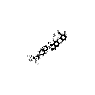 COc1c(Oc2c(F)ccc(F)c2C#N)ccc2ncn([C@@H]3COC4(CCN(C(=O)OC(C)(C)C)CC4)C3)c(=O)c12